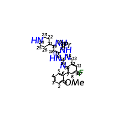 COc1ccccc1-c1cc(F)cc2cnc(N/C(=C/C(=N)C3CCNCC3)NC(C)C)nc12